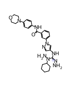 N/N=C(/Nc1cnn(-c2cccc(C(=O)Nc3ccc(N4CCOCC4)cc3)c2)c1)N(N)C1CCCCC1